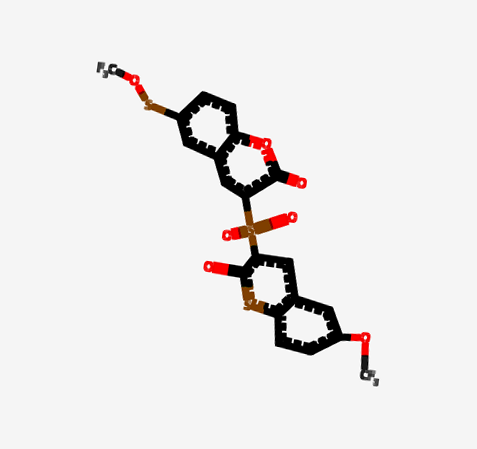 O=c1oc2ccc(SOC(F)(F)F)cc2cc1S(=O)(=O)c1cc2cc(OC(F)(F)F)ccc2sc1=O